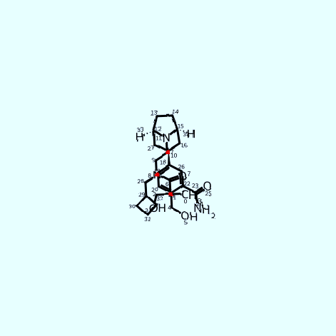 CC(CO)(CO)C(=O)N(CCN1[C@@H]2CC[C@H]1C[C@@H](c1cccc(C(N)=O)c1)C2)CC1CCC1